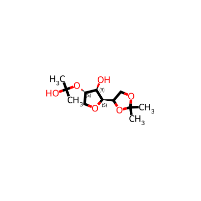 CC(C)(O)O[C@H]1CO[C@H](C2COC(C)(C)O2)[C@@H]1O